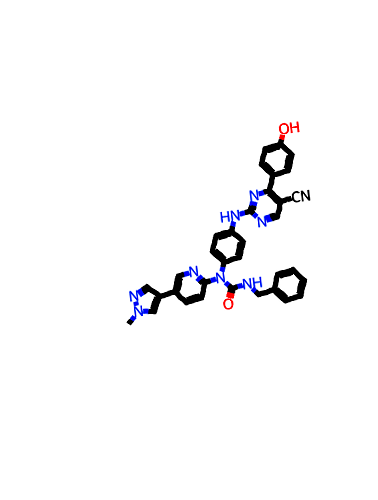 Cn1cc(-c2ccc(N(C(=O)NCc3ccccc3)c3ccc(Nc4ncc(C#N)c(-c5ccc(O)cc5)n4)cc3)nc2)cn1